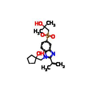 C=C(C)c1nc2cc(S(=O)(=O)CC(C)(C)O)ccc2n1CC1(O)CCCC1